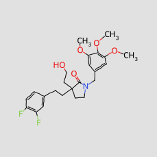 COc1cc(CN2CCC(CCO)(CCc3ccc(F)c(F)c3)C2=O)cc(OC)c1OC